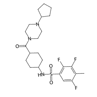 Cc1c(F)cc(S(=O)(=O)NC2CCC(C(=O)N3CCN(C4CCCC4)CC3)CC2)c(F)c1F